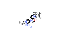 CN1C=CC(N2CCOC3=C2C=CC(C(=O)O)N3C)=CC1N